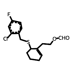 O=COCCC1=CCCCC1SCc1ccc(F)cc1Cl